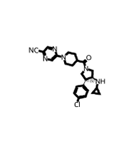 N#Cc1cnc(N2CCC(C(=O)N3C[C@@H](NC4CC4)[C@H](c4ccc(Cl)cc4)C3)CC2)cn1